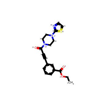 CCOC(=O)c1cccc(C#CC(=O)N2CCN(c3nccs3)CC2)c1